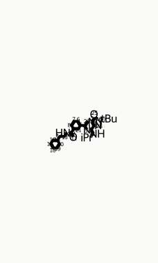 CC(C)Nc1nc(-c2cccc(C(=O)NCCc3ccccc3)c2)cn2c(=O)n(C(C)(C)C)nc12